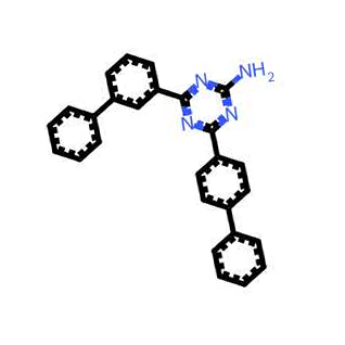 Nc1nc(-c2ccc(-c3ccccc3)cc2)nc(-c2cccc(-c3ccccc3)c2)n1